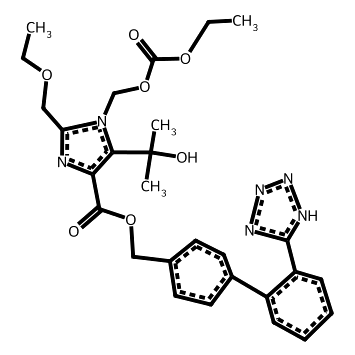 CCOCc1nc(C(=O)OCc2ccc(-c3ccccc3-c3nnn[nH]3)cc2)c(C(C)(C)O)n1COC(=O)OCC